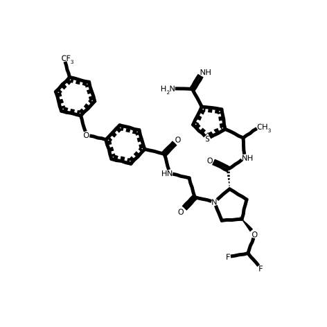 CC(NC(=O)[C@@H]1C[C@@H](OC(F)F)CN1C(=O)CNC(=O)c1ccc(Oc2ccc(C(F)(F)F)cc2)cc1)c1cc(C(=N)N)cs1